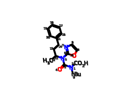 CCCCN(C(=O)O)C(=O)N(c1ncco1)C(C)CCc1ccccc1